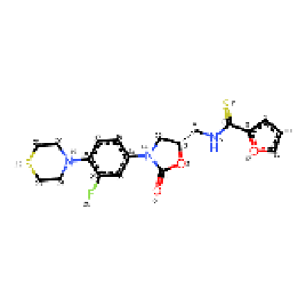 O=C1O[C@@H](CNC(=S)c2ccco2)CN1c1ccc(N2CCSCC2)c(F)c1